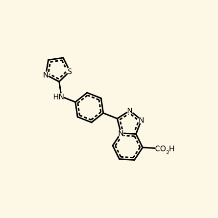 O=C(O)c1cccn2c(-c3ccc(Nc4nccs4)cc3)nnc12